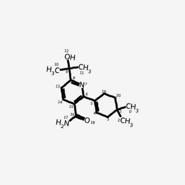 CC1(C)CC=C(c2nc(C(C)(C)O)ccc2C(N)=O)CC1